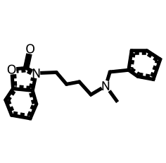 CN(CCCCn1c(=O)oc2ccccc21)Cc1ccccc1